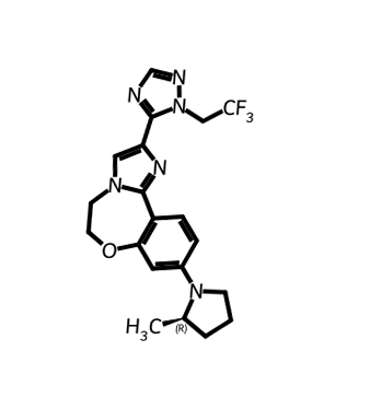 C[C@@H]1CCCN1c1ccc2c(c1)OCCn1cc(-c3ncnn3CC(F)(F)F)nc1-2